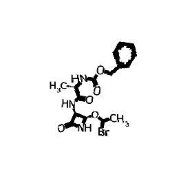 CC(Br)O[C@H]1NC(=O)[C@H]1NC(=O)[C@H](C)NC(=O)OCc1ccccc1